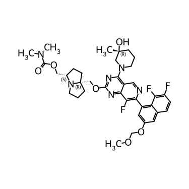 COCOc1cc(-c2ncc3c(N4CCC[C@@](C)(O)C4)nc(OC[C@]45CCCN4[C@H](COC(=O)N(C)C)CC5)nc3c2F)c2c(F)c(F)ccc2c1